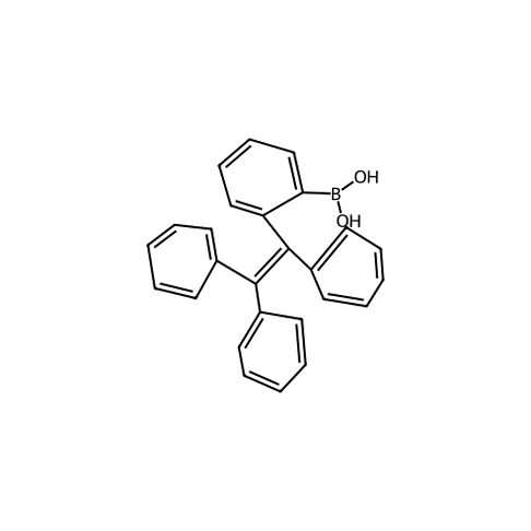 OB(O)c1ccccc1C(=C(c1ccccc1)c1ccccc1)c1ccccc1